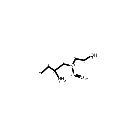 CCC(N)CN(CCO)N=O